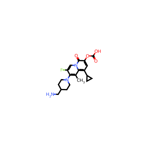 Cc1c(N2CCC(CN)CC2)c(F)cn2c(=O)c(OC(=O)O)cc(C3CC3)c12